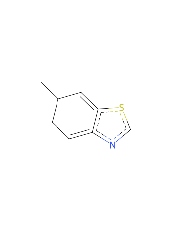 CC1C=c2scnc2=CC1